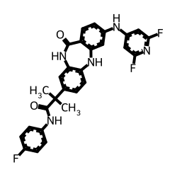 CC(C)(C(=O)Nc1ccc(F)cc1)c1ccc2c(c1)NC(=O)c1ccc(Nc3cc(F)nc(F)c3)cc1N2